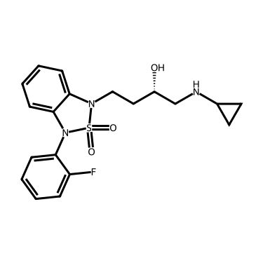 O=S1(=O)N(CC[C@H](O)CNC2CC2)c2ccccc2N1c1ccccc1F